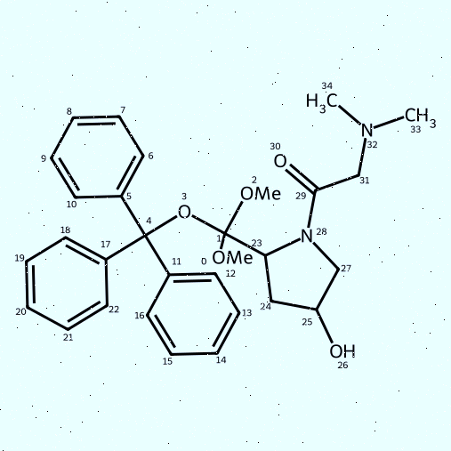 COC(OC)(OC(c1ccccc1)(c1ccccc1)c1ccccc1)C1CC(O)CN1C(=O)CN(C)C